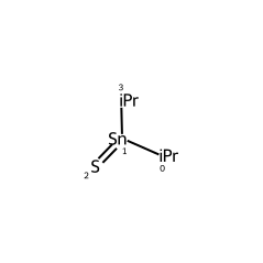 C[CH](C)[Sn](=[S])[CH](C)C